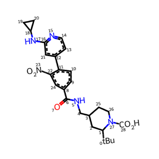 CC(C)(C)C1CC(CNC(=O)c2ccc(-c3ccnc(NC4CC4)c3)c([N+](=O)[O-])c2)CCN1C(=O)O